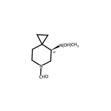 CN(O)[C@H]1CN(C=O)CCC12CC2